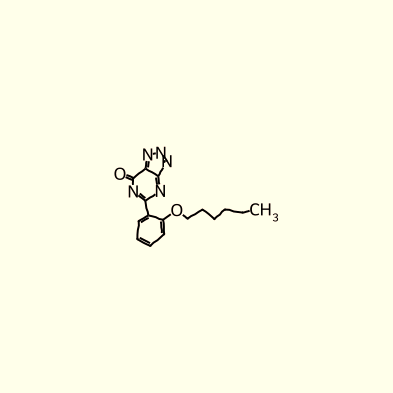 CCCCCCOc1ccccc1C1=NC(=O)C2=NN=NC2=N1